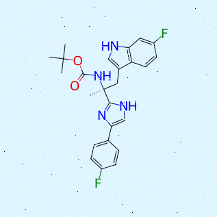 CC(C)(C)OC(=O)N[C@@](C)(Cc1c[nH]c2cc(F)ccc12)c1nc(-c2ccc(F)cc2)c[nH]1